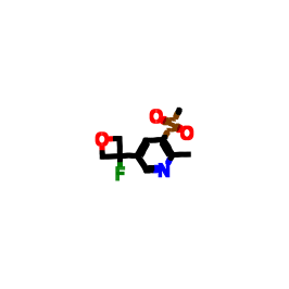 Cc1ncc(C2(F)COC2)cc1S(C)(=O)=O